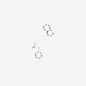 C=C(Nc1ccc(C)cc1)C(C)N1CCN(c2ccnc3ccc(F)cc23)CC1